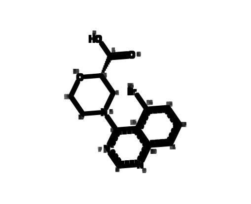 O=C(O)[C@@H]1CN(c2ncnc3cccc(Br)c23)CCO1